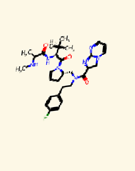 CN[C@@H](C)C(=O)N[C@H](C(=O)N1CCC[C@H]1CN(CCc1ccc(F)cc1)C(=O)C1CN2C=CC=NC2=N1)C(C)(C)C